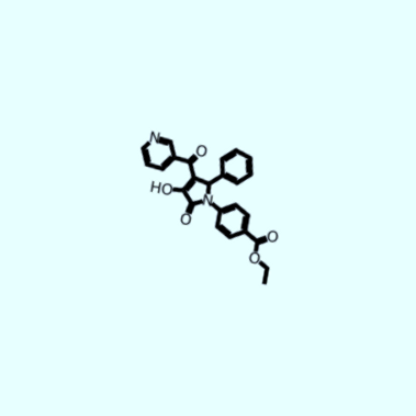 CCOC(=O)c1ccc(N2C(=O)C(O)=C(C(=O)c3cccnc3)C2c2ccccc2)cc1